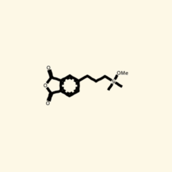 CO[Si](C)(C)CCCc1ccc2c(c1)C(=O)OC2=O